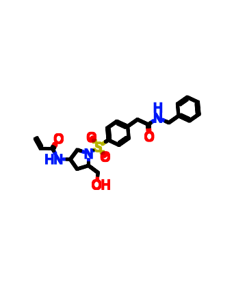 C=CC(=O)NC1CC(CO)N(S(=O)(=O)c2ccc(CC(=O)NCc3ccccc3)cc2)C1